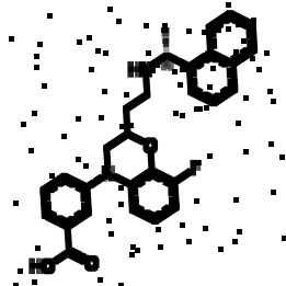 C[C@@H](NCCC1CN(c2cccc(C(=O)O)c2)c2cccc(F)c2O1)c1cccc2ccccc12